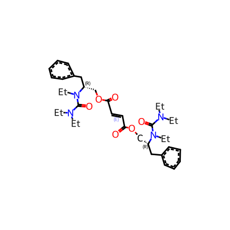 CCN(CC)C(=O)N(CC)[C@@H](COC(=O)/C=C/C(=O)OC[C@@H](Cc1ccccc1)N(CC)C(=O)N(CC)CC)Cc1ccccc1